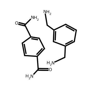 NC(=O)c1ccc(C(N)=O)cc1.NCc1cccc(CN)c1